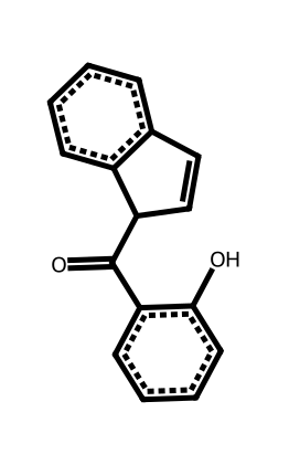 O=C(c1ccccc1O)C1C=Cc2ccccc21